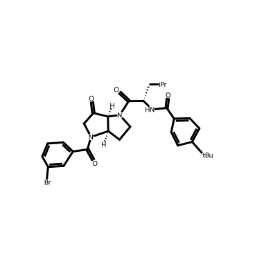 CC(C)C[C@H](NC(=O)c1ccc(C(C)(C)C)cc1)C(=O)N1CC[C@@H]2[C@H]1C(=O)CN2C(=O)c1cccc(Br)c1